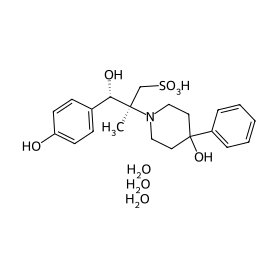 C[C@@](CS(=O)(=O)O)([C@@H](O)c1ccc(O)cc1)N1CCC(O)(c2ccccc2)CC1.O.O.O